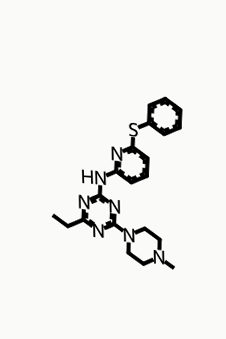 CCc1nc(Nc2cccc(Sc3ccccc3)n2)nc(N2CCN(C)CC2)n1